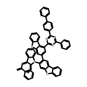 C=C(/C=c1\c(=C/C)n(-c2cc3oc4ccccc4c3cc2-c2cc(-c3nc(-c4ccccc4)nc(-c4ccc(-c5ccccc5)cc4)n3)c3c(c2)oc2ccccc23)c2ccccc12)c1ccccc1